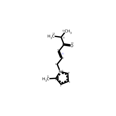 Cc1cccn1C/C=C/C(=O)C(C)C